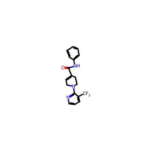 O=C(Nc1ccccc1)C1=CCN(c2ncccc2C(F)(F)F)CC1